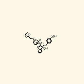 COc1ccc(CCC(O)(C(=O)N[C@H]2C[N+]3(CCC4OCCO4)CCC2CC3)c2ccco2)cc1